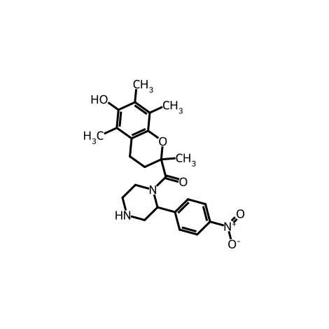 Cc1c(C)c2c(c(C)c1O)CCC(C)(C(=O)N1CCNCC1c1ccc([N+](=O)[O-])cc1)O2